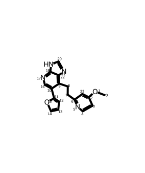 COc1ccnc(CCc2c(-c3ccco3)cnc3[nH]cnc23)c1